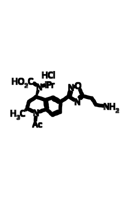 CC(=O)N1c2ccc(-c3noc(CCN)n3)cc2[C@H](N(C(=O)O)C(C)C)C[C@@H]1C.Cl